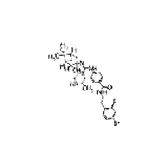 C[C@H]1[C@@H](N=C(Nc2ccc(C(=O)NCCc3ccc(Br)cc3F)cc2)N2CCN[C@@H](C)C2)C[C@@H]2C[C@@H]1C2(C)C